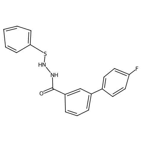 O=C(NNSc1ccccc1)c1cccc(-c2ccc(F)cc2)c1